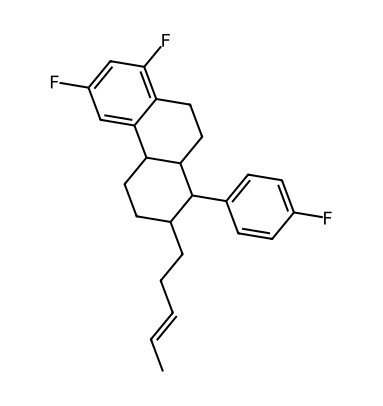 CC=CCCC1CCC2c3cc(F)cc(F)c3CCC2C1c1ccc(F)cc1